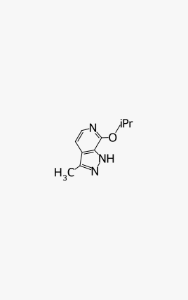 Cc1n[nH]c2c(OC(C)C)nccc12